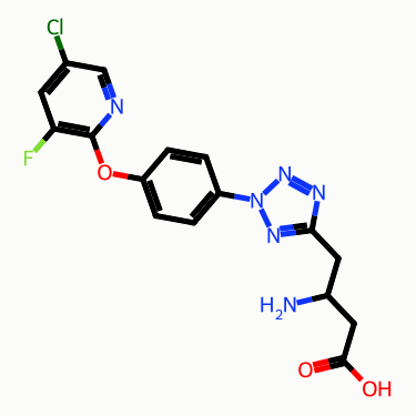 NC(CC(=O)O)Cc1nnn(-c2ccc(Oc3ncc(Cl)cc3F)cc2)n1